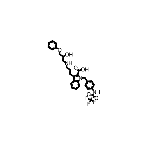 O=C(O)c1c(CCCNCC(O)COc2ccccc2)c2ccccc2n1Cc1ccc(NS(=O)(=O)C(F)(F)F)cc1